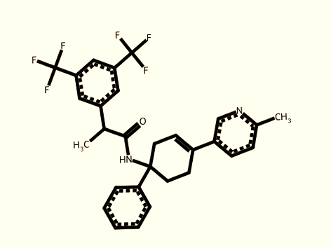 Cc1ccc(C2=CCC(NC(=O)C(C)c3cc(C(F)(F)F)cc(C(F)(F)F)c3)(c3ccccc3)CC2)cn1